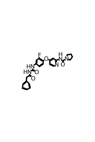 O=C(Cc1ccccc1)NC(=O)Nc1ccc(Oc2ccnc(NC(=O)N3CCCC3)c2)c(F)c1